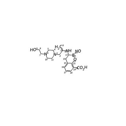 C=C(CN1CCN(CCO)CC1)NC1Cc2cccc(C(=O)O)c2OB1N=O